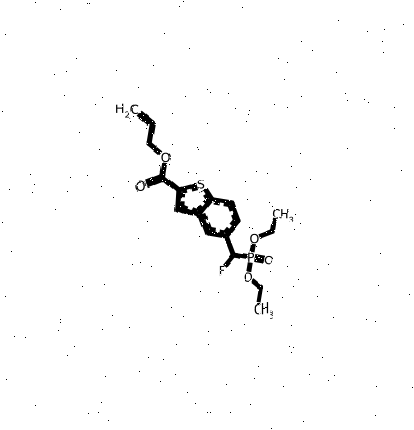 C=CCOC(=O)c1cc2cc(C(F)P(=O)(OCC)OCC)ccc2s1